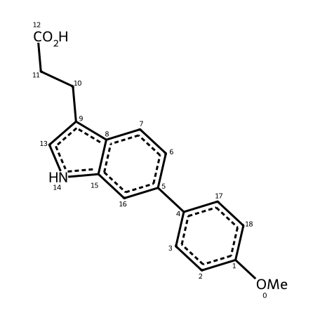 COc1ccc(-c2ccc3c(CCC(=O)O)c[nH]c3c2)cc1